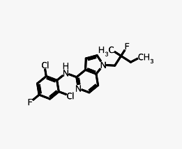 CCC(C)(F)Cn1ccc2c(Nc3c(Cl)cc(F)cc3Cl)nccc21